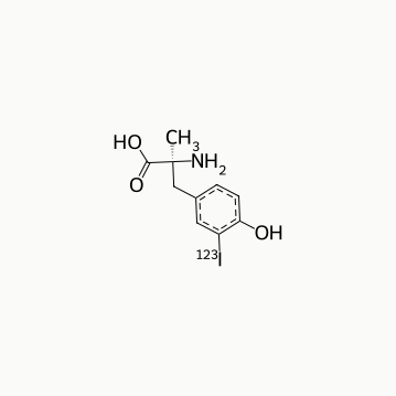 C[C@](N)(Cc1ccc(O)c([123I])c1)C(=O)O